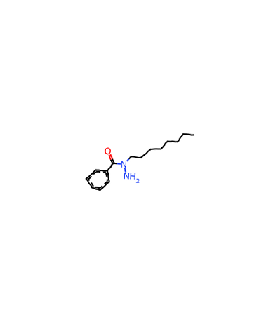 CCCCCCCCN(N)C(=O)c1ccccc1